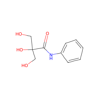 O=C(Nc1ccccc1)C(O)(CO)CO